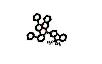 CC1(C)c2ccccc2-c2ccc(N(c3ccc4ccccc4c3)c3cccc(-c4ccccc4)c3-c3ccc(-c4ccccc4)cc3)cc21